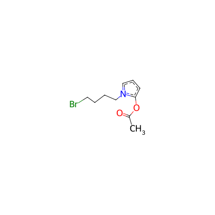 CC(=O)Oc1cccn1CCCCBr